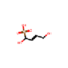 O=S(=O)(O)C(O)C=CCO